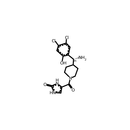 N[C@@H](c1cc(Cl)c(Cl)cc1O)C1CCN(C(=O)c2c[nH]c(=O)[nH]2)CC1